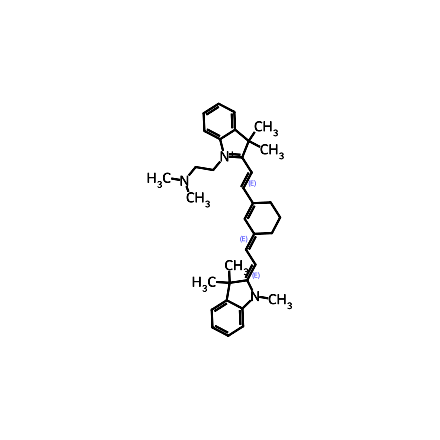 CN(C)CC[N+]1=C(/C=C/C2=CC(=C/C=C3/N(C)c4ccccc4C3(C)C)/CCC2)C(C)(C)c2ccccc21